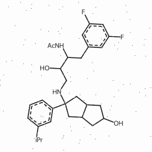 CC(=O)NC(Cc1cc(F)cc(F)c1)C(O)CNC1(c2cccc(C(C)C)c2)CC2CC(O)CC2C1